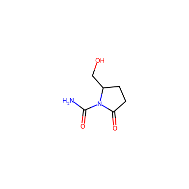 NC(=O)N1C(=O)CCC1CO